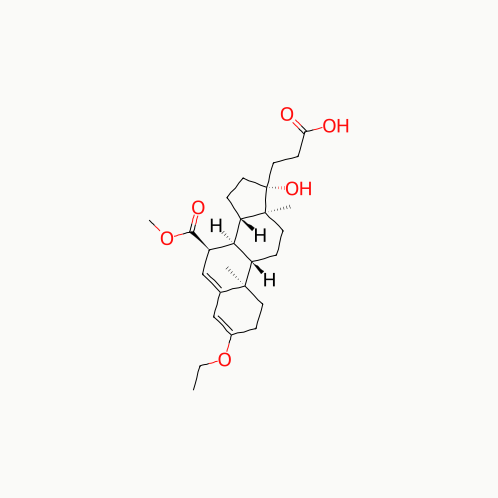 CCOC1=CC2=C[C@@H](C(=O)OC)[C@@H]3[C@H](CC[C@@]4(C)[C@H]3CC[C@@]4(O)CCC(=O)O)[C@@]2(C)CC1